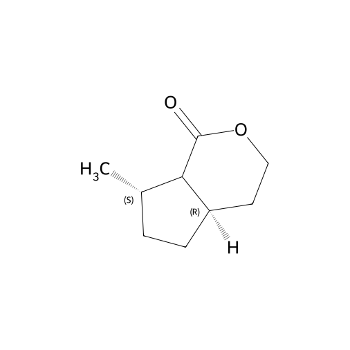 C[C@H]1CC[C@@H]2CCOC(=O)C21